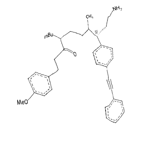 CCCCC(CCC(C)[C@H](CCN)c1ccc(C#Cc2ccccc2)cc1)C(=O)CCc1ccc(OC)cc1